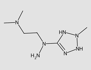 CN(C)CCN(N)C1=NNN(C)N1